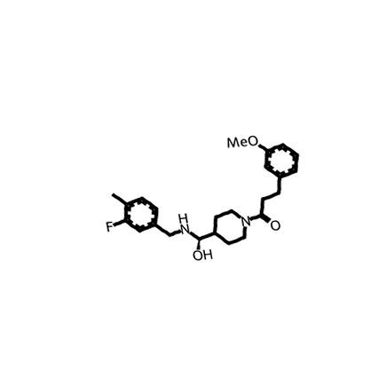 COc1cccc(CCC(=O)N2CCC([C@@H](O)NCc3ccc(C)c(F)c3)CC2)c1